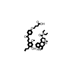 C=CCc1cc(/C=C/C(=O)c2ccc(OCCCC(=O)O)cc2)c(OC)cc1O.CCN(CC)C(=O)[C@@H]1C=C2c3cccc4[nH]cc(c34)C[C@H]2N(C)C1